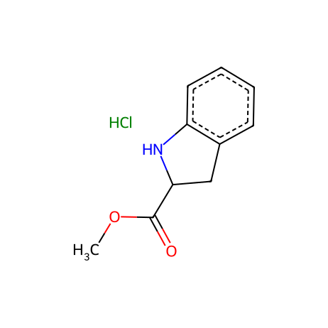 COC(=O)C1Cc2ccccc2N1.Cl